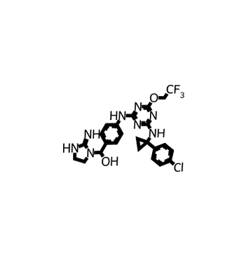 N=C1NCCN1C(O)c1ccc(Nc2nc(NC3(c4ccc(Cl)cc4)CC3)nc(OCC(F)(F)F)n2)cc1